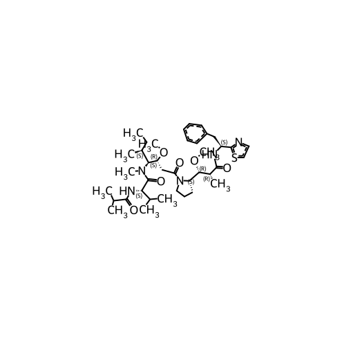 CC[C@H](C)[C@@H]([C@@H](CC(=O)N1CCC[C@H]1[C@H](OC)[C@@H](C)C(=O)N[C@@H](Cc1ccccc1)c1nccs1)OC)N(C)C(=O)[C@@H](NC(=O)C(C)C)C(C)C